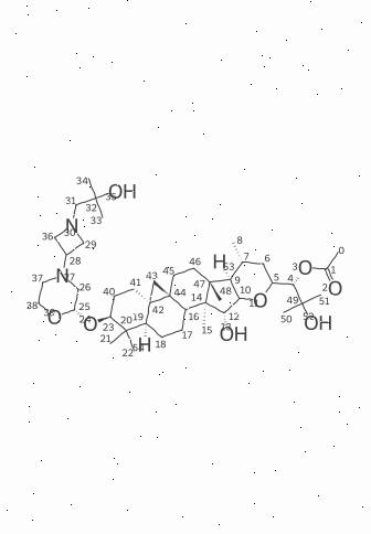 CC(=O)O[C@@H](C1C[C@@H](C)[C@H]2C(O1)[C@H](O)[C@@]1(C)C3CC[C@H]4C(C)(C)[C@@H](O[C@H]5CN(C6CN(CC(C)(C)O)C6)CCO5)CC[C@@]45C[C@@]35CC[C@]21C)C(C)(C)O